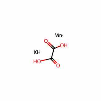 O=C(O)C(=O)O.[KH].[Mn]